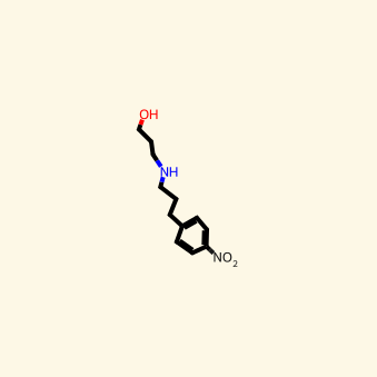 O=[N+]([O-])c1ccc(CCCNCCCO)cc1